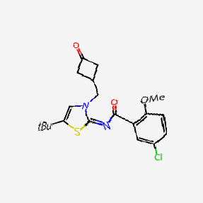 COc1ccc(Cl)cc1C(=O)N=c1sc(C(C)(C)C)cn1CC1CC(=O)C1